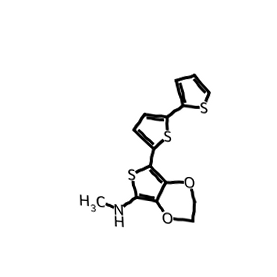 CNc1sc(-c2ccc(-c3cccs3)s2)c2c1OCCO2